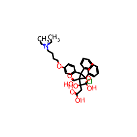 CCN(CC)CCCCOc1ccc(C2(c3ccccc3)C(Cl)(c3ccccc3)C2(C(=O)O)C(O)(CC(=O)O)C(=O)O)cc1